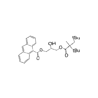 CC(C)(C)CC(C)(C(=O)OCC(O)COC(=O)c1c2ccccc2cc2ccccc12)C(C)(C)C